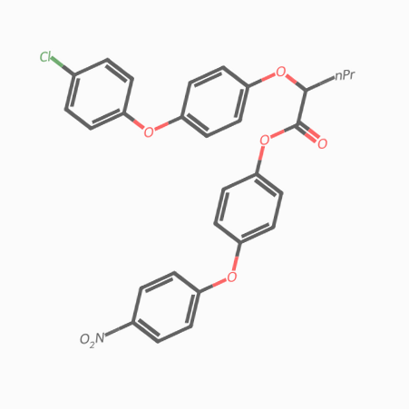 CCCC(Oc1ccc(Oc2ccc(Cl)cc2)cc1)C(=O)Oc1ccc(Oc2ccc([N+](=O)[O-])cc2)cc1